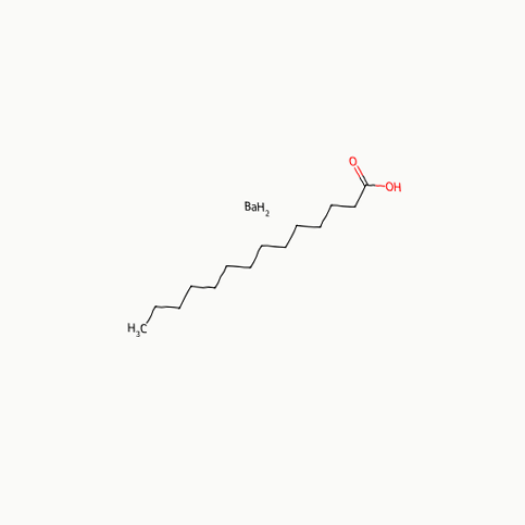 CCCCCCCCCCCCCC(=O)O.[BaH2]